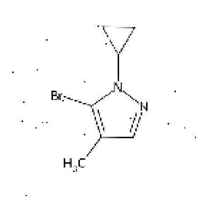 Cc1cnn(C2CC2)c1Br